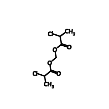 CC(Cl)C(=O)OCOC(=O)C(C)Cl